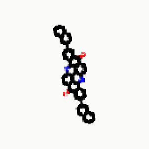 O=c1c2cc(-c3ccc4ccccc4c3)ccc2c2nc3ccc4c(=O)c5cc(-c6ccc7ccccc7c6)ccc5c5nc6ccc1c2c6c3c45